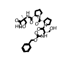 C[C@@](CO)(NC(=O)[C@@H]1CCCN1C(=O)[C@@H]1CCCN1C(=O)[C@H](CO)NC(=O)OCc1ccccc1)C(=O)O